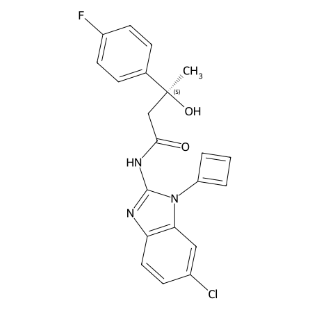 C[C@](O)(CC(=O)Nc1nc2ccc(Cl)cc2n1C1=CC=C1)c1ccc(F)cc1